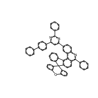 c1ccc(-c2ccc(-c3cc(-c4ccc5nc(-c6ccccc6)c6ccc7c(c6c5c4)-c4ccccc4C74c5ccccc5Oc5ccccc54)nc(-c4ccccc4)n3)cc2)cc1